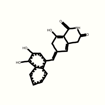 O=C1CC2=CC(=Cc3cc(O)c(O)c4ccccc34)CC(O)=C2C(=O)N1